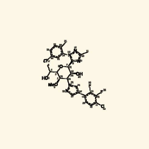 CO[C@H]1C(C(C)O)O[C@@H](c2nc(C)nn2-c2cc(Cl)ccc2C)[C@@H](O)C1n1cc(-c2ccc(Cl)c(F)c2F)cn1